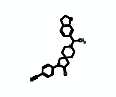 CC(c1ccc2c(c1)OCC2)N1CCC2(CC1)CC(=O)N(c1ccc(C#N)cc1)C2